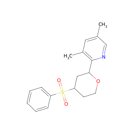 Cc1cnc(C2CC(S(=O)(=O)c3ccccc3)CCO2)c(C)c1